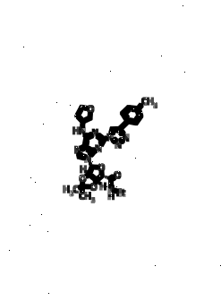 CCNC(=O)[C@H]1O[C@@H](n2cnc3c(NC4CCOC4)nc(-n4cc(-c5ccc(C)cc5)nn4)nc32)[C@@H]2OC(C)(C)O[C@@H]21